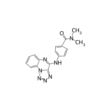 CN(C)C(=O)c1ccc(Nc2nc3ccccc3n3nnnc23)cc1